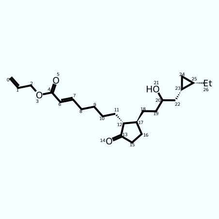 C=CCOC(=O)C=CCCCC[C@H]1C(=O)CC[C@@H]1CCC(O)C[C@@H]1C[C@@H]1CC